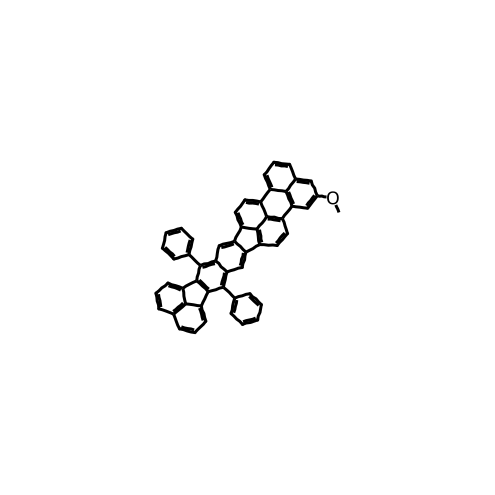 COc1cc2cccc3c4ccc5c6cc7c(-c8ccccc8)c8c9cccc%10cccc(c8c(-c8ccccc8)c7cc6c6ccc(c(c1)c23)c4c56)c%109